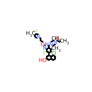 C=CC(=O)N1C[C@H](C)N(c2nc(OCCCN3CCC(C)(F)C3)nc3c(F)c(-c4cc(O)cc5ccccc45)c(Cl)cc23)C[C@H]1C